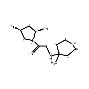 CC1(NCC(=O)N2C[C@@H](F)C[C@H]2C#N)CCSCC1